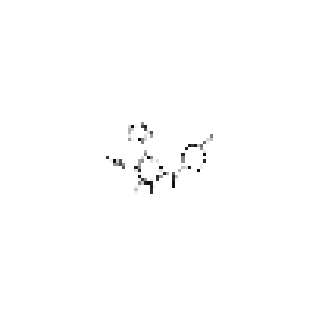 C[C@H]1CC[C@@H](Nc2nc(-c3cccs3)c(C#N)c(=O)[nH]2)CC1